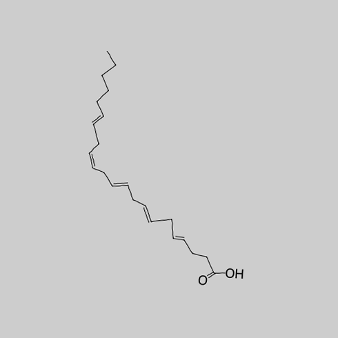 CCCCC/C=C/C/C=C\C/C=C/C/C=C/C/C=C/CCC(=O)O